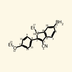 Bc1ccc2c(C#N)c(-c3ccc(OCC)cc3)n(CC)c2c1